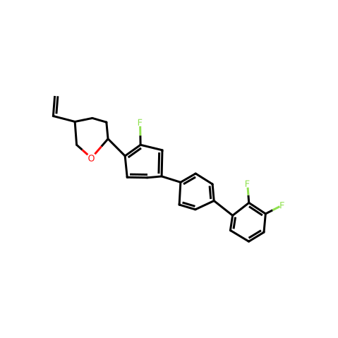 C=CC1CCC(c2ccc(-c3ccc(-c4cccc(F)c4F)cc3)cc2F)OC1